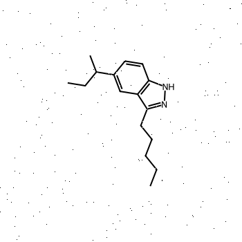 CCCCCc1n[nH]c2ccc(C(C)CC)cc12